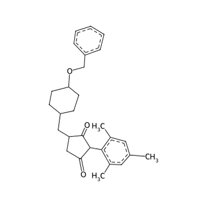 Cc1cc(C)c(C2C(=O)CC(CC3CCC(OCc4ccccc4)CC3)C2=O)c(C)c1